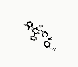 CCOC(=O)C1=C(CN2CCN(C(=O)N3CCC[C@@H](C(=O)O)C3)CC2)NC(c2nccs2)=N[C@H]1c1cccc(F)c1C